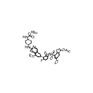 CCc1cc(-c2c(F)ccc(NS(=O)(=O)c3cc(Cl)cc4c3OC[C@H]4OC(C)=O)c2F)cc2cnc(NC3CCC(NC(=O)OC(C)(C)C)CC3)nc12